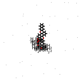 BBB(B(B)B)c1c(B(B(B)B)B(B)B)c(C)c2c(C)c(C)c(C3=c4c(C)c5c(C)c(C)c(C)c(-c6c(C)c(C)c7c(C)c(C)c(C)c(C)c7c6C)c5c(C)c4=C(C)C(C)C3C)c(B(B)BB)c2c1B(B)B(B)B